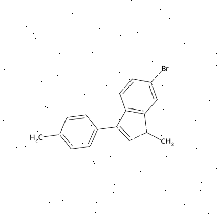 Cc1ccc(C2=CC(C)c3cc(Br)ccc32)cc1